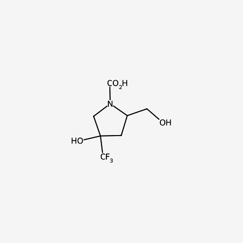 O=C(O)N1CC(O)(C(F)(F)F)CC1CO